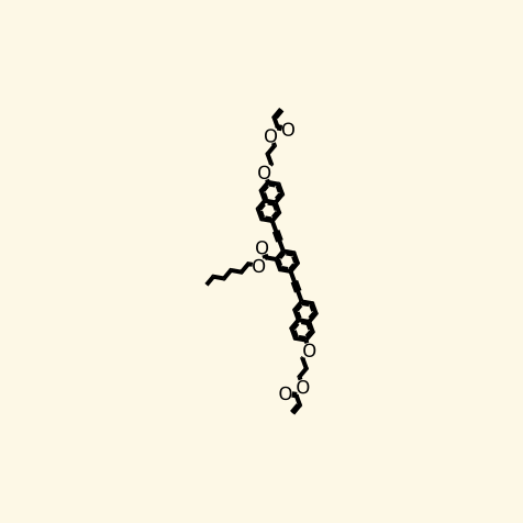 C=CC(=O)OCCCOc1ccc2cc(C#Cc3ccc(C#Cc4ccc5cc(OCCCOC(=O)C=C)ccc5c4)c(C(=O)OCCCCCC)c3)ccc2c1